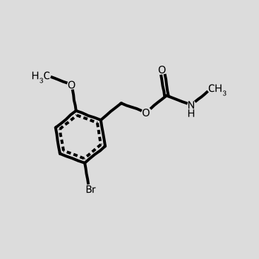 CNC(=O)OCc1cc(Br)ccc1OC